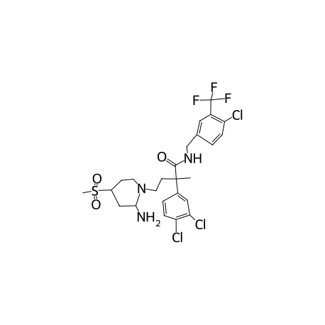 CC(CCN1CCC(S(C)(=O)=O)CC1N)(C(=O)NCc1ccc(Cl)c(C(F)(F)F)c1)c1ccc(Cl)c(Cl)c1